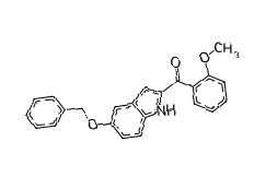 COc1ccccc1C(=O)c1cc2cc(OCc3ccccc3)ccc2[nH]1